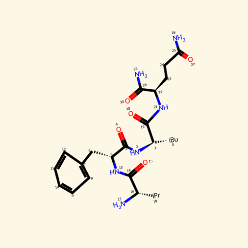 CC[C@@H](C)[C@@H](NC(=O)[C@@H](Cc1ccccc1)NC(=O)[C@@H](N)C(C)C)C(=O)N[C@H](CCC(N)=O)C(N)=O